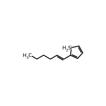 CCCCC=CC1=CC=C[SiH2]1